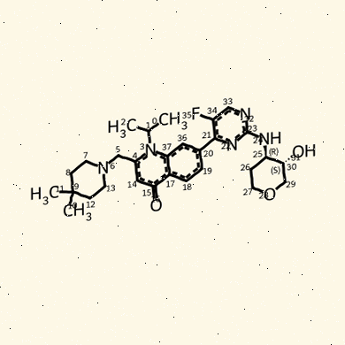 CC(C)n1c(CN2CCC(C)(C)CC2)cc(=O)c2ccc(-c3nc(N[C@@H]4CCOC[C@H]4O)ncc3F)cc21